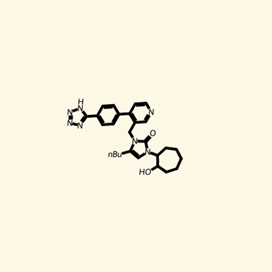 CCCCc1cn(C2CCCCCC2O)c(=O)n1Cc1cnccc1-c1ccc(-c2nnn[nH]2)cc1